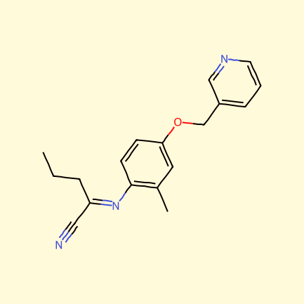 CCC/C(C#N)=N\c1ccc(OCc2cccnc2)cc1C